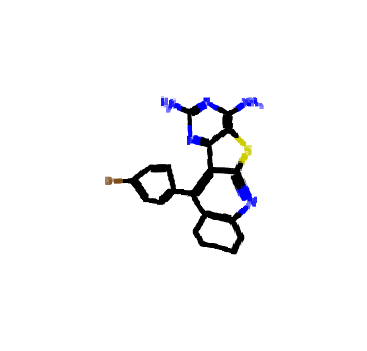 Nc1nc(N)c2sc3nc4c(c(-c5ccc(Br)cc5)c3c2n1)CCCC4